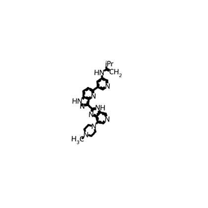 C=C(Nc1cncc(-c2ccc3[nH]nc(-c4nc5c(N6CCN(C)CC6)cncc5[nH]4)c3n2)c1)C(C)C